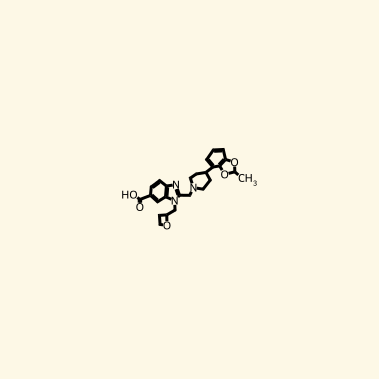 CC1Oc2cccc(C3CCN(Cc4nc5ccc(C(=O)O)cc5n4CC4CCO4)CC3)c2O1